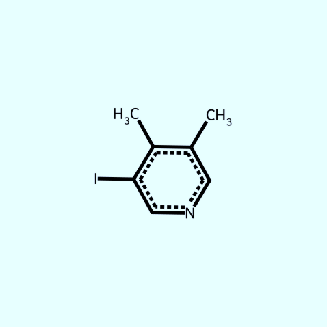 Cc1cncc(I)c1C